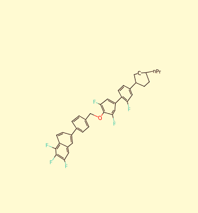 CCCC1CCC(c2ccc(-c3cc(F)c(OCc4ccc(-c5ccc6c(F)c(F)c(F)cc6c5)cc4)c(F)c3)c(F)c2)CC1